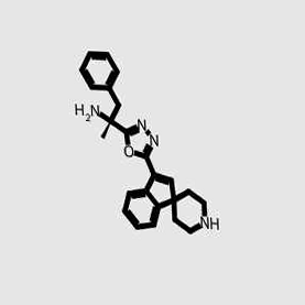 C[C@@](N)(Cc1ccccc1)c1nnc(C2=CC3(CCNCC3)c3ccccc32)o1